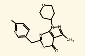 Cc1nn(C2CCOCC2)c2nc(Cc3ccc(I)nc3)[nH]c(=O)c12